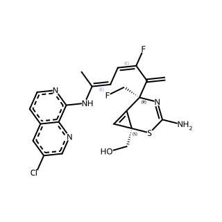 C=C(/C(F)=C\C=C(/C)Nc1nccc2cc(Cl)cnc12)[C@@]1(CF)N=C(N)S[C@@]2(CO)C=C12